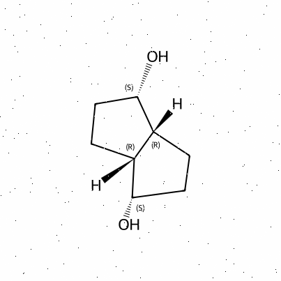 O[C@H]1CC[C@@H]2[C@H]1CC[C@@H]2O